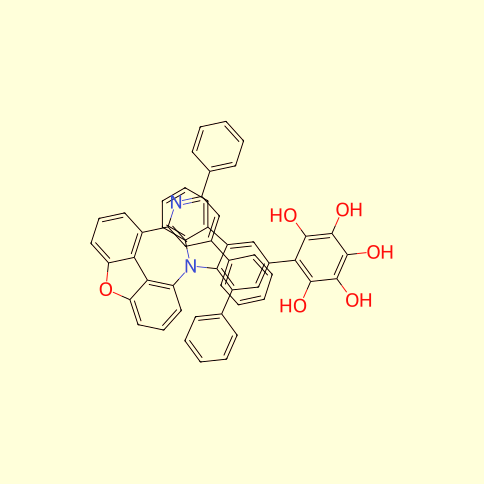 Oc1c(O)c(O)c(-c2cc(-c3ccccc3)c3c(c2)c2ccccc2n3-c2cccc3oc4cccc(-c5cc(-c6ccccc6)cc(-c6ccccc6)n5)c4c23)c(O)c1O